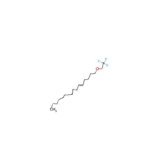 CCCCCCCCCC=CCCCCOCC(F)(F)F